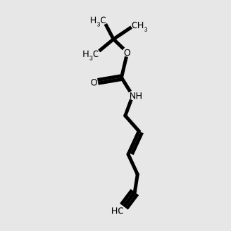 C#CCC=CCNC(=O)OC(C)(C)C